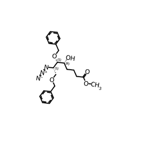 COC(=O)CCC[C@@H](O)[C@@H](OCc1ccccc1)[C@H](COCc1ccccc1)N=[N+]=[N-]